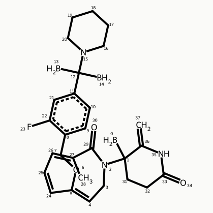 BC1(N2C/C=C(OCc3ccc(C(B)(B)N4CCCCC4)cc3F)/C=C\C=C(/C)C2=O)CCC(=O)NC1=C